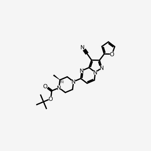 C[C@H]1CN(c2ccn3nc(-c4ccco4)c(C#N)c3n2)CCN1C(=O)OC(C)(C)C